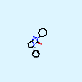 O=c1n(C2CCCCCC2)nc2n1[C@H](c1ccccc1)CC2